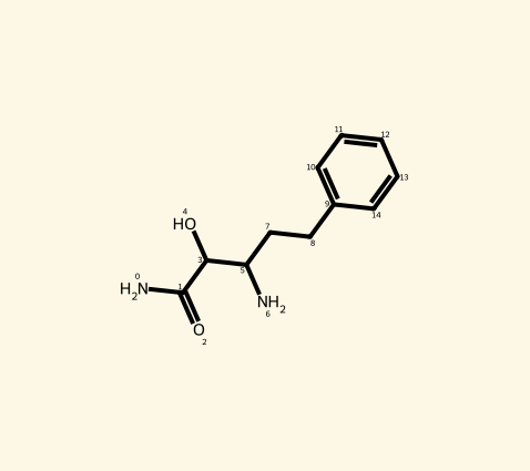 NC(=O)C(O)C(N)CCc1ccccc1